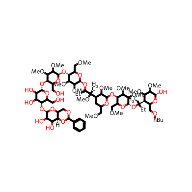 CCCCOCC1O[C@@H](O)C(OC)C(OC)[C@@H]1C(C)(CC)O[C@@H]1OC(COC)[C@@H](OC2OC(COC)CC(C(C)(OC)C(CC)O[C@@H]3OC(COC)[C@@H](O[C@H]4OC(CO)[C@@H](O[C@@H]5OC(CO)[C@@H](O[C@H]6OC7COC(c8ccccc8)O[C@H]7C(O)C6O)C(O)C5O)C(OC)C4OC)C(OC)C3OC)C2OC)C(OC)C1OC